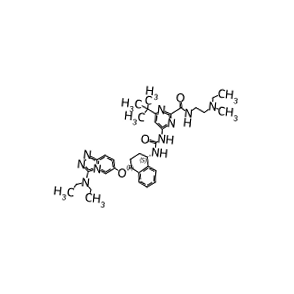 CCN(C)CCNC(=O)c1nc(NC(=O)N[C@H]2CC[C@@H](Oc3ccc4nnc(N(CC)CC)n4c3)c3ccccc32)cc(C(C)(C)C)n1